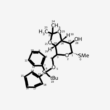 CS[C@@H]1OC(CO[Si](c2ccccc2)(c2ccccc2)C(C)(C)C)[C@@H]2OC(C)(C)O[C@@H]2C1O